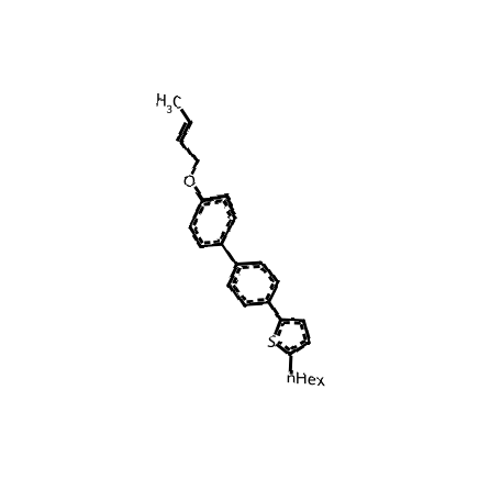 CC=CCOc1ccc(-c2ccc(-c3ccc(CCCCCC)s3)cc2)cc1